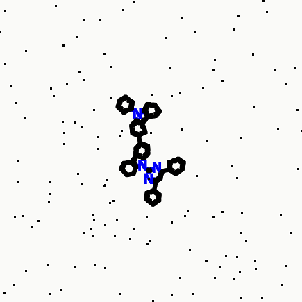 C1=Cc2c(n(-c3nc(-c4ccccc4)cc(-c4ccccc4)n3)c3ccc(-c4ccc5c(c4)c4ccccc4n5-c4ccccc4)cc23)CC1